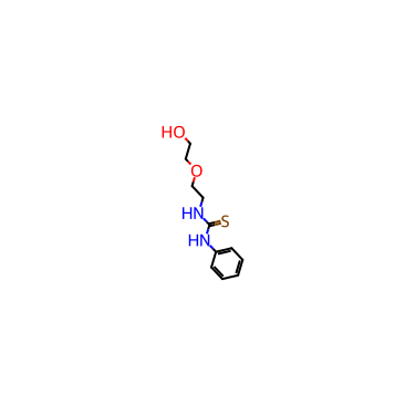 OCCOCCNC(=S)Nc1ccccc1